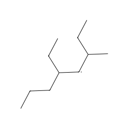 CCCC([CH]C(C)CC)CC